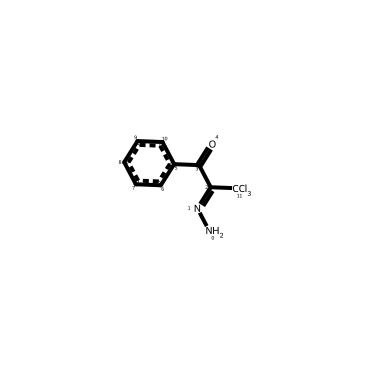 NN=C(C(=O)c1ccccc1)C(Cl)(Cl)Cl